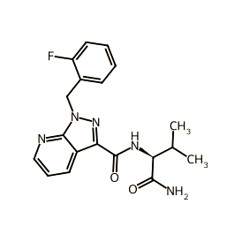 CC(C)[C@H](NC(=O)c1nn(Cc2ccccc2F)c2ncccc12)C(N)=O